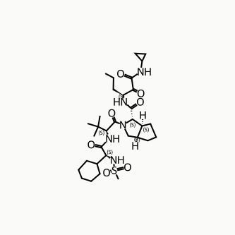 CCC[C@H](NC(=O)[C@@H]1[C@H]2CCC[C@H]2CN1C(=O)[C@@H](NC(=O)[C@@H](NS(C)(=O)=O)C1CCCCC1)C(C)(C)C)C(=O)C(=O)NC1CC1